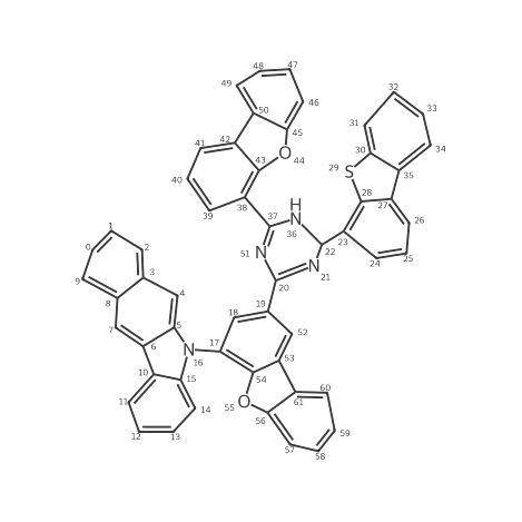 c1ccc2cc3c(cc2c1)c1ccccc1n3-c1cc(C2=NC(c3cccc4c3sc3ccccc34)NC(c3cccc4c3oc3ccccc34)=N2)cc2c1oc1ccccc12